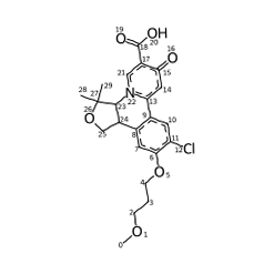 COCCCOc1cc2c(cc1Cl)-c1cc(=O)c(C(=O)O)cn1C1C2COC1(C)C